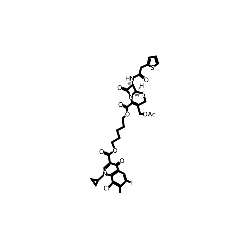 CC(=O)OCC1=C(C(=O)OCCCCCOC(=O)c2cn(C3CC3)c3c(Cl)c(C)c(F)cc3c2=O)N2C(=O)[C@@H](NC(=O)Cc3cccs3)[C@H]2SC1